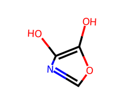 Oc1ncoc1O